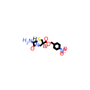 NC1C(=O)N2CC(Br)(C(=O)OCc3ccc([N+](=O)[O-])cc3)CS[C@H]12